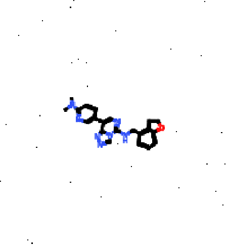 CN(C)c1ccc(-c2cnc(NCc3cccc4c3CCO4)n3cnnc23)cn1